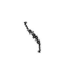 CC1(C)c2cc(OC(=O)c3ccc(OCCCCCCC4CO4)cc3F)ccc2-c2ccc(OC(=O)c3ccc(OCCCCCCC4CO4)cc3F)cc21